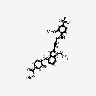 COc1cc(S(C)(=O)=O)ccc1NCC#Cc1cc2c(NC3CCN(C(=O)OC(C)(C)C)CC3F)cccc2n1CC(F)(F)F